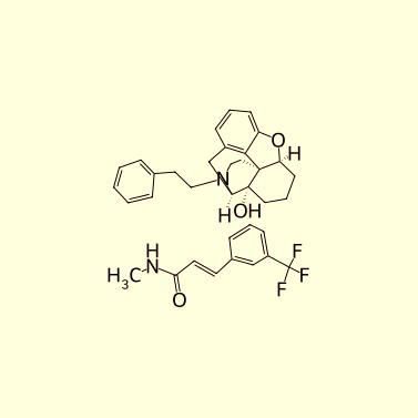 CNC(=O)/C=C/c1cccc(C(F)(F)F)c1.O[C@@]12CCC[C@@H]3Oc4cccc5c4[C@@]31CCN(CCc1ccccc1)[C@@H]2C5